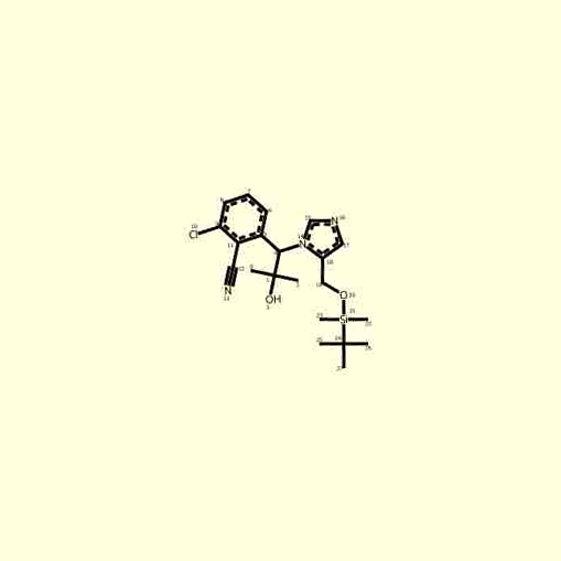 CC(C)(O)C(c1cccc(Cl)c1C#N)n1cncc1CO[Si](C)(C)C(C)(C)C